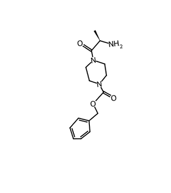 C[C@@H](N)C(=O)N1CCN(C(=O)OCc2ccccc2)CC1